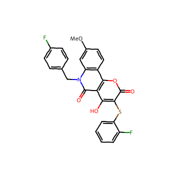 COc1ccc2c3oc(=O)c(Sc4ccccc4F)c(O)c3c(=O)n(Cc3ccc(F)cc3)c2c1